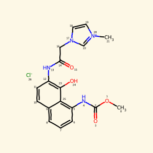 COC(=O)Nc1cccc2ccc(NC(=O)Cn3cc[n+](C)c3)c(O)c12.[Cl-]